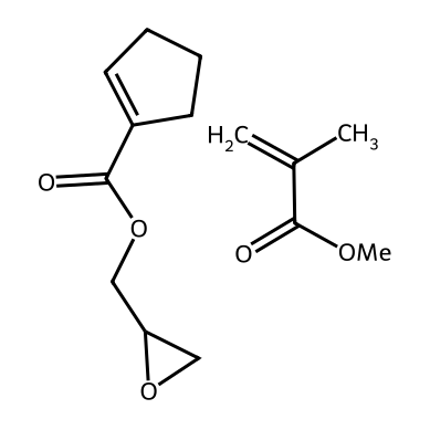 C=C(C)C(=O)OC.O=C(OCC1CO1)C1=CCCC1